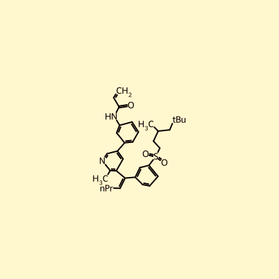 C=CC(=O)Nc1cccc(-c2cnc(C)c(/C(=C\CCC)c3cccc(S(=O)(=O)CCC(C)CC(C)(C)C)c3)c2)c1